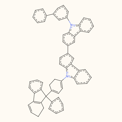 C1=CC2=C(CC1)C(C1=CC=C(n3c4ccccc4c4cc(-c5ccc6c(c5)c5ccccc5n6-c5cccc(-c6ccccc6)c5)ccc43)CC1)(c1ccccc1)c1ccccc12